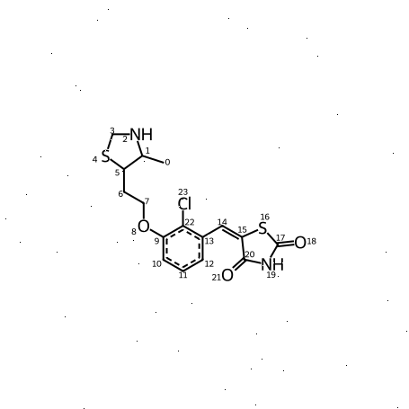 CC1NCSC1CCOc1cccc(C=C2SC(=O)NC2=O)c1Cl